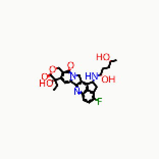 CC[C@@]1(O)C(=O)OCc2c1cc1n(c2=O)Cc2c-1nc1ccc(F)c3c1c2C(NC(O)CCC(C)O)C3